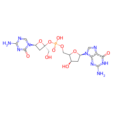 Nc1ncn([C@@H]2C[C@](CO)(OP(=O)(O)OCC3O[C@@H](n4cnc5c(=O)[nH]c(N)nc54)C[C@H]3O)O2)c(=O)n1